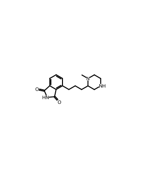 CN1CCNCC1CCCc1cccc2c1C(=O)NC2=O